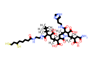 CC(C)(CC(C(=O)O)C(C(=O)NCCc1c[nH]cn1)C1(C)CC(C(C(=O)O)C(C)(C)CC(C(=O)O)C(C(=O)NCCNC(=O)CCCCC(S)CCS)C(C)(C)C(C)(C)C)C(=O)N1)C(CC(N)=O)C(=O)O